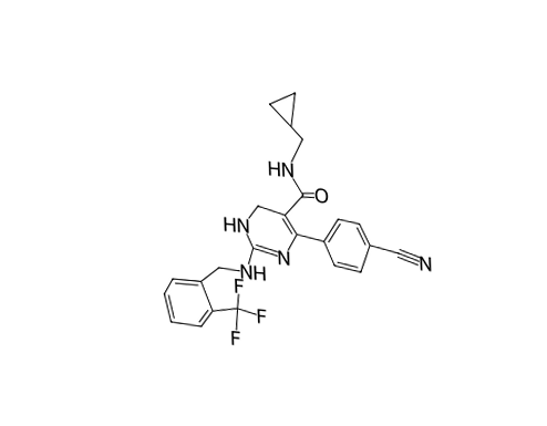 N#Cc1ccc(C2=C(C(=O)NCC3CC3)CNC(NCc3ccccc3C(F)(F)F)=N2)cc1